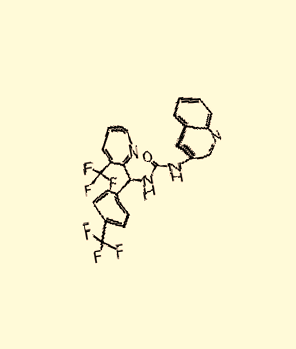 O=C(Nc1cnc2ccccc2c1)N[C@@H](c1ccc(C(F)(F)F)cc1)c1ncccc1C(F)(F)F